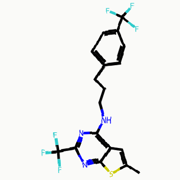 Cc1cc2c(NCCCc3ccc(C(F)(F)F)cc3)nc(C(F)(F)F)nc2s1